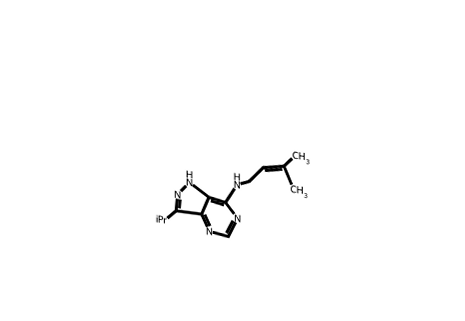 CC(C)=CCNc1ncnc2c(C(C)C)n[nH]c12